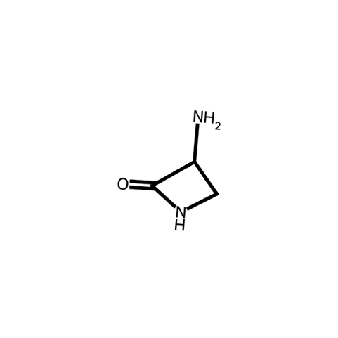 NC1CNC1=O